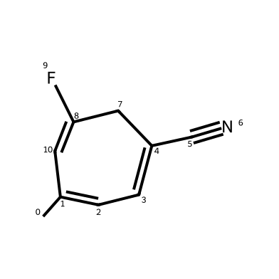 CC1=CC=C(C#N)CC(F)=C1